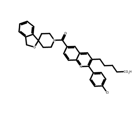 O=C(O)CCCCc1cc2cc(C(=O)N3CCC4(CC3)OCc3ccccc34)ccc2nc1-c1ccc(Cl)cc1